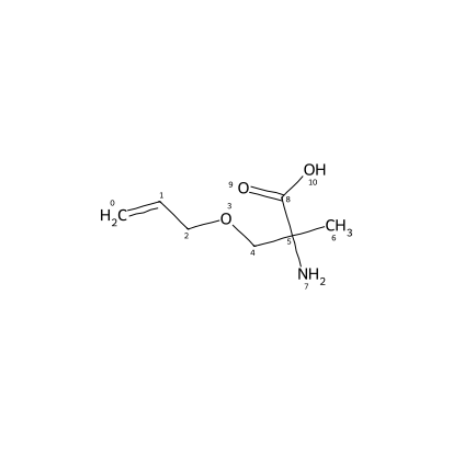 C=CCOCC(C)(N)C(=O)O